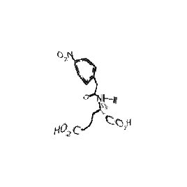 O=C(O)CC[C@H](NC(=O)Cc1ccc([N+](=O)[O-])cc1)C(=O)O